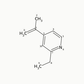 C=C(C)c1ccnc(CC)c1